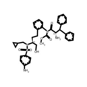 COC(=O)N(C(=O)[C@@H](N)C(c1ccccc1)c1ccccc1)c1ccccc1CC[C@@H](CO)N(CC1CC1)S(=O)(=O)c1ccc(N)cc1